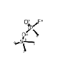 C[Si](C)(C)OP(C)(=O)F